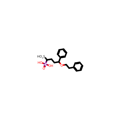 O=P(O)(O)C(CCC(OCCc1ccccc1)c1ccccc1)S(=O)(=O)O